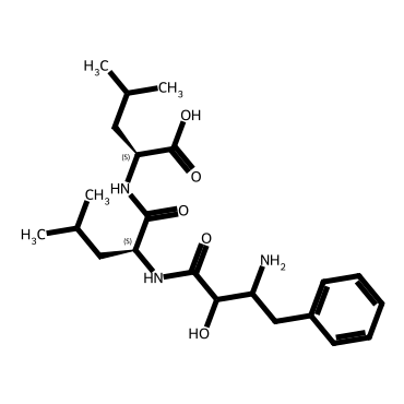 CC(C)C[C@H](NC(=O)[C@H](CC(C)C)NC(=O)C(O)C(N)Cc1ccccc1)C(=O)O